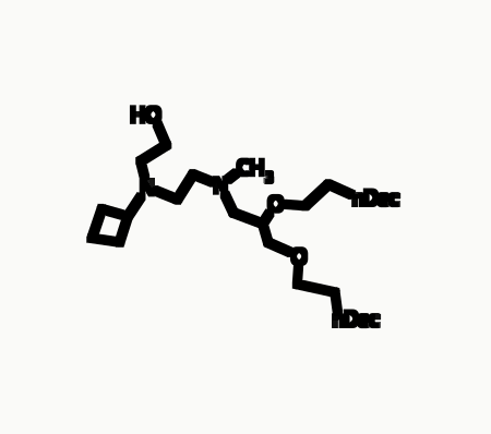 CCCCCCCCCCCCOCC(CN(C)CCN(CCO)C1CCC1)OCCCCCCCCCCCC